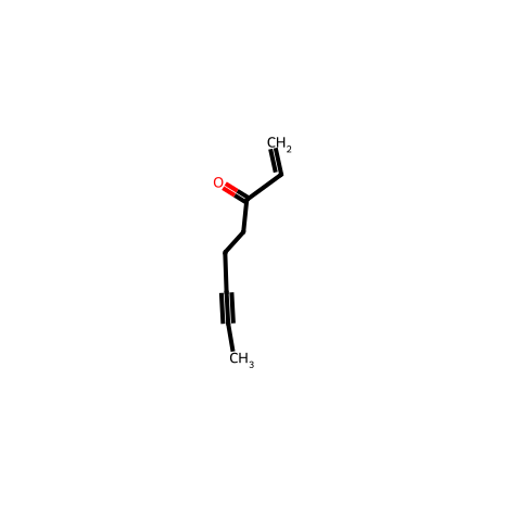 C=CC(=O)CCC#CC